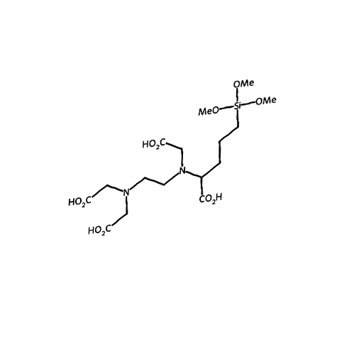 CO[Si](CCCC(C(=O)O)N(CCN(CC(=O)O)CC(=O)O)CC(=O)O)(OC)OC